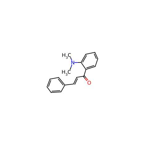 CN(C)c1ccccc1C(=O)/C=C/c1ccccc1